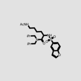 CC(=O)NCCCCC(NS(=O)(=O)c1ccc2occc2c1)C(=O)N(CC(C)C)CC(C)C